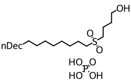 CCCCCCCCCCCCCCCCCCS(=O)(=O)CCCCO.O=P(O)(O)O